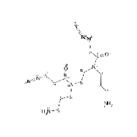 [N-]=[N+]=NCC(=O)N(CCCN)CCN(CCCN)C(=O)CN=[N+]=[N-]